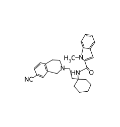 Cn1c(C(=O)NC2(CCN3CCc4ccc(C#N)cc4C3)CCCCC2)cc2ccccc21